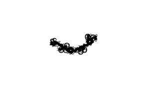 C=C(C)Oc1ccc(CCC(=O)CC(=O)CCc2ccc(OC(=O)C(CCCC3CCSS3)OC)cc2)cc1OC